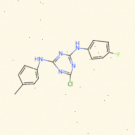 Cc1ccc(Nc2nc(Cl)nc(Nc3ccc(F)cc3)n2)cc1